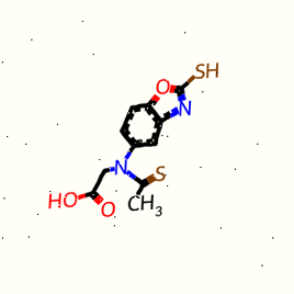 CC(=S)N(CC(=O)O)c1ccc2oc(S)nc2c1